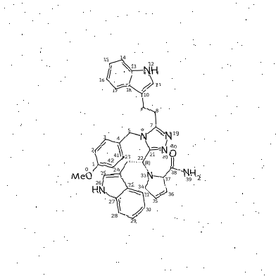 COc1ccc(Cn2c(CCc3c[nH]c4ccccc34)nnc2[C@@H](Cc2c[nH]c3ccccc23)N2CC=CC2C(N)=O)cc1